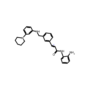 Nc1ccccc1NC(=O)/C=C/c1cccc(CNc2cccc(N3CCCCC3)c2)c1